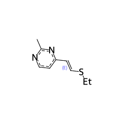 CCS/C=C/c1ccnc(C)n1